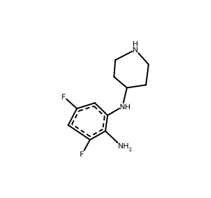 Nc1c(F)cc(F)cc1NC1CCNCC1